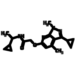 Cc1cc(OCC(=O)NC(C)C2CC2)nc2c1c(C1CC1)nn2C